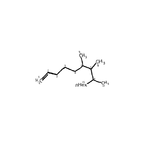 C=CCCCC(C)C(C)C(C)CCCCCC